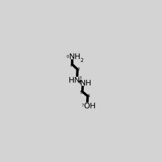 NCCNNCCO